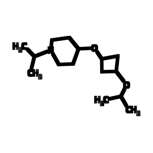 CC(C)OC1CC(OC2CCN(C(C)C)CC2)C1